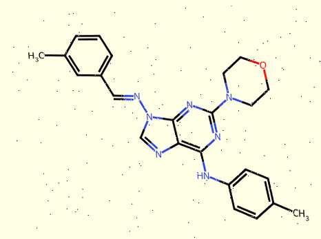 Cc1ccc(Nc2nc(N3CCOCC3)nc3c2ncn3/N=C/c2cccc(C)c2)cc1